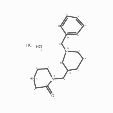 Cl.Cl.O=C1CNCCN1CC1CCCN(Cc2ccccc2)C1